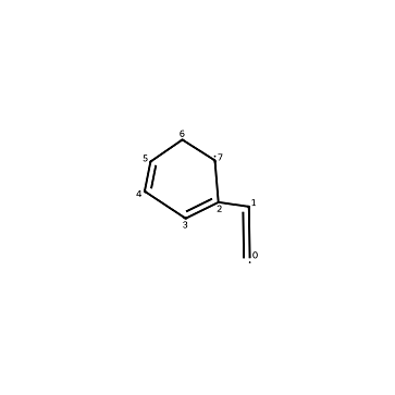 [CH]=CC1=CC=CC[CH]1